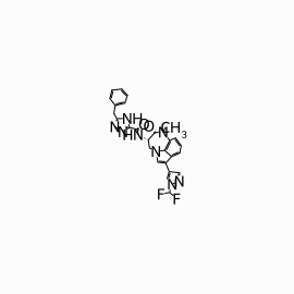 CN1C(=O)[C@@H](NC(=O)c2nnc(Cc3ccccc3)[nH]2)Cn2cc(-c3cnn(C(F)F)c3)c3cccc1c32